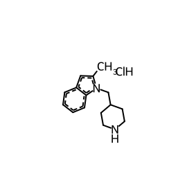 Cc1cc2ccccc2n1CC1CCNCC1.Cl